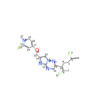 C=C(F)CC/C(=C(\C)F)c1cnc2nc(COC3=CCN(C)C(F)=C3)cn2n1